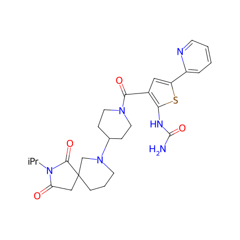 CC(C)N1C(=O)CC2(CCCN(C3CCN(C(=O)c4cc(-c5ccccn5)sc4NC(N)=O)CC3)C2)C1=O